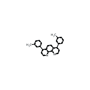 Cc1cccc(-c2ccnc3c2ccc2c(-c4cccc(C)c4)ccnc23)c1